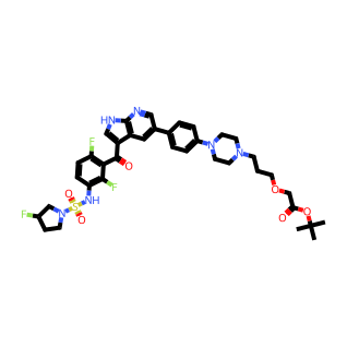 CC(C)(C)OC(=O)COCCCN1CCN(c2ccc(-c3cnc4[nH]cc(C(=O)c5c(F)ccc(NS(=O)(=O)N6CCC(F)C6)c5F)c4c3)cc2)CC1